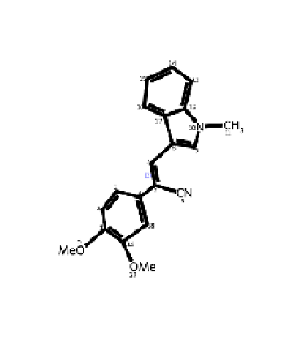 COc1ccc(/C(C#N)=C/c2cn(C)c3ccccc23)cc1OC